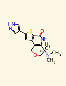 CN(C)[C@@]1(C)COCc2c1[nH]c(=O)c1sc(-c3cn[nH]c3)cc21